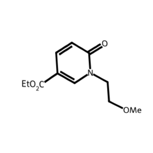 CCOC(=O)c1ccc(=O)n(CCOC)c1